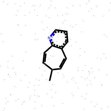 CC1C=Cc2cccnc2C=C1